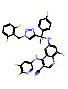 [2H][C@](Nc1cc(Cl)c2ncc(C#N)c(Nc3cnc(F)c(F)c3)c2c1)(c1ccc(F)cc1)c1cn(Cc2c(F)cccc2F)nn1